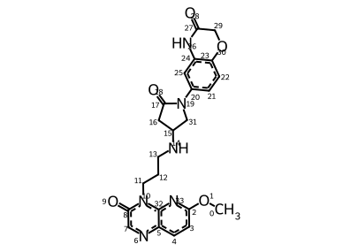 COc1ccc2ncc(=O)n(CCCNC3CC(=O)N(c4ccc5c(c4)NC(=O)CO5)C3)c2n1